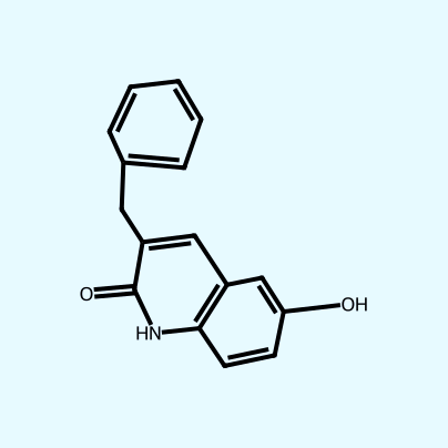 O=c1[nH]c2ccc(O)cc2cc1Cc1ccccc1